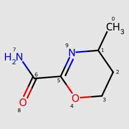 CC1CCOC(C(N)=O)=N1